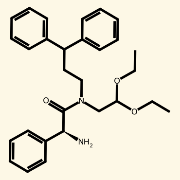 CCOC(CN(CCC(c1ccccc1)c1ccccc1)C(=O)[C@@H](N)c1ccccc1)OCC